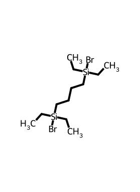 CC[Si](Br)(CC)CCCC[Si](Br)(CC)CC